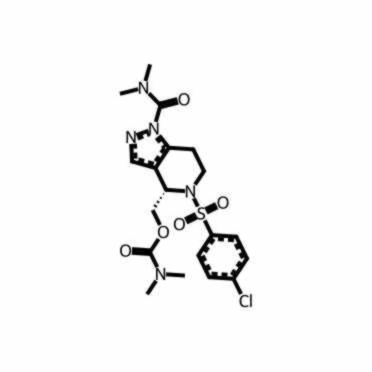 CN(C)C(=O)OC[C@@H]1c2cnn(C(=O)N(C)C)c2CCN1S(=O)(=O)c1ccc(Cl)cc1